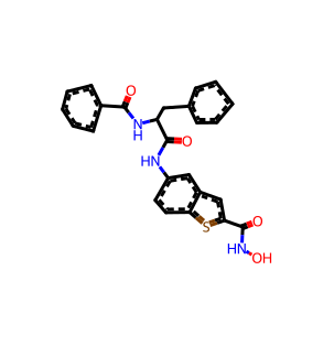 O=C(NC(Cc1ccccc1)C(=O)Nc1ccc2sc(C(=O)NO)cc2c1)c1ccccc1